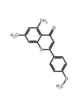 COc1ccc(-c2cc(=O)c3c(C)cc(C)cc3o2)cc1